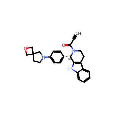 C#CC(=O)N1CCc2c([nH]c3ccccc23)[C@@H]1c1ccc(N2CCC3(COC3)C2)cc1